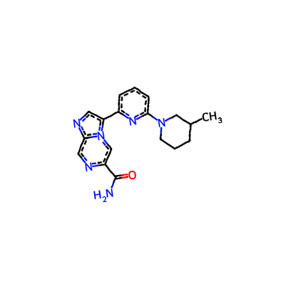 CC1CCCN(c2cccc(-c3cnc4cnc(C(N)=O)cn34)n2)C1